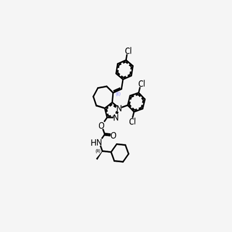 C[C@@H](NC(=O)Oc1nn(-c2cc(Cl)ccc2Cl)c2c1CCCC/C2=C\c1ccc(Cl)cc1)C1CCCCC1